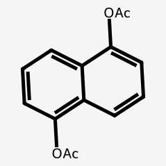 CC(=O)Oc1cccc2c(OC(C)=O)cccc12